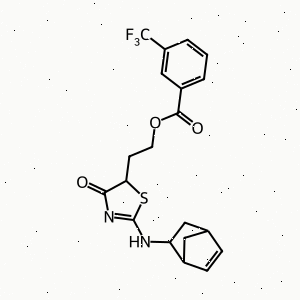 O=C(OCCC1SC(NC2CC3C=CC2C3)=NC1=O)c1cccc(C(F)(F)F)c1